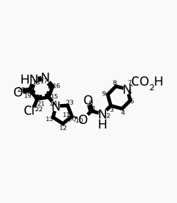 O=C(NC1CCN(C(=O)O)CC1)O[C@@H]1CCN(c2cn[nH]c(=O)c2Cl)C1